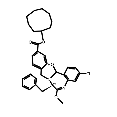 COC1=Nc2cc(Cl)ccc2C(O)N(Cc2ccc(C(=O)OC3CCCCCCCC3)cc2)[C@@H]1Cc1ccccc1